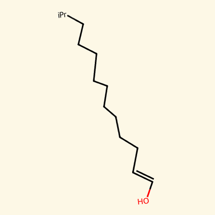 CC(C)CCCCCCCCCC=CO